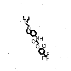 CCN(CC)CCN1CCc2cc(NC(=O)COc3ccc(C(F)(F)F)cc3Cl)ccc21